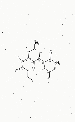 CCCC(=O)N(C)C(CCN)C(=O)N(C)[C@@H](CC(C)C)C(N)=O